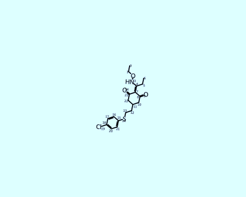 CCONC(CC)=C1C(=O)CC(CCSc2ccc(Cl)cc2)CC1=O